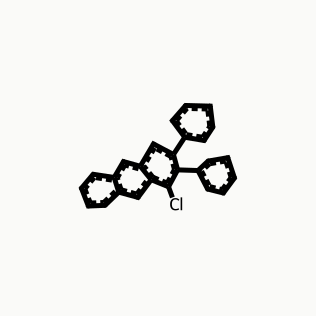 Clc1c(-c2ccccc2)c(-c2ccccc2)cc2cc3ccccc3cc12